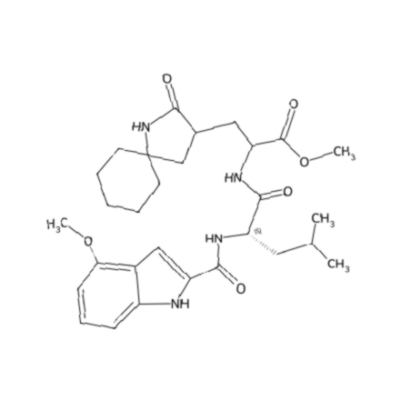 COC(=O)C(CC1CC2(CCCCC2)NC1=O)NC(=O)[C@H](CC(C)C)NC(=O)c1cc2c(OC)cccc2[nH]1